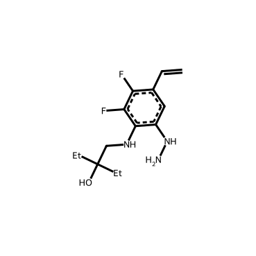 C=Cc1cc(NN)c(NCC(O)(CC)CC)c(F)c1F